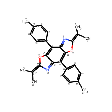 C/C(C#N)=c1\nc2c(-c3ccc(C(F)(F)F)cc3)c3oc(=C(C#N)C#N)nc3c(-c3ccc(C(F)(F)F)cc3)c2o1